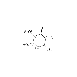 CCC1OC(O)C(OC(C)=O)[C@@H](C)[C@@H]1C